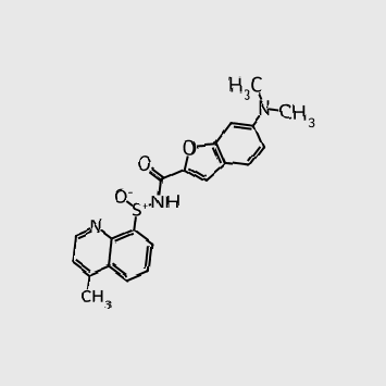 Cc1ccnc2c([S+]([O-])NC(=O)c3cc4ccc(N(C)C)cc4o3)cccc12